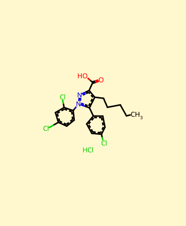 CCCCCc1c(C(=O)O)nn(-c2ccc(Cl)cc2Cl)c1-c1ccc(Cl)cc1.Cl